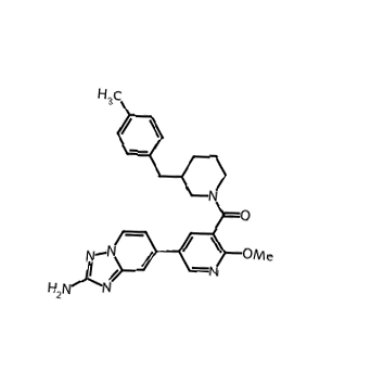 COc1ncc(-c2ccn3nc(N)nc3c2)cc1C(=O)N1CCCC(Cc2ccc(C)cc2)C1